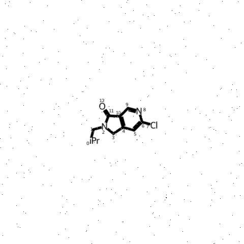 CC(C)CN1Cc2cc(Cl)ncc2C1=O